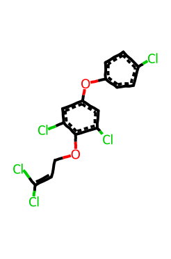 ClC(Cl)=CCOc1c(Cl)cc(Oc2ccc(Cl)cc2)cc1Cl